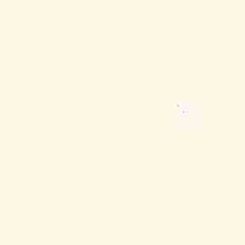 Nc1cccc(-c2cccc3c2SC2C=CC=CC32)c1